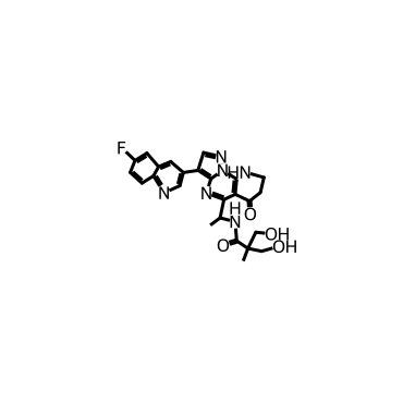 CC(NC(=O)C(C)(CO)CO)c1nc2c(-c3cnc4ccc(F)cc4c3)cnn2c2c1C(=O)CCN2